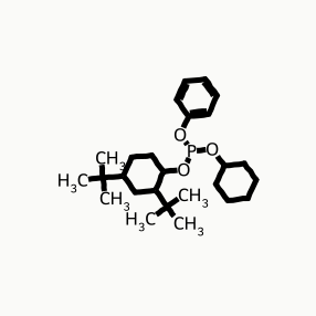 CC(C)(C)C1CCC(OP(Oc2ccccc2)OC2CCCCC2)C(C(C)(C)C)C1